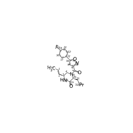 CC=C[C@H]1CN(C(=O)c2cc(-c3ccc(F)cc3)on2)[C@@H](CC(C)C)C(=O)N1